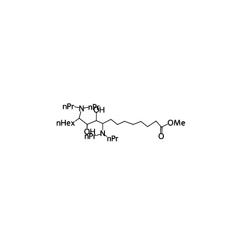 CCCCCCC(C(O)C(O)C(CCCCCCCC(=O)OC)N(CCC)CCC)N(CCC)CCC